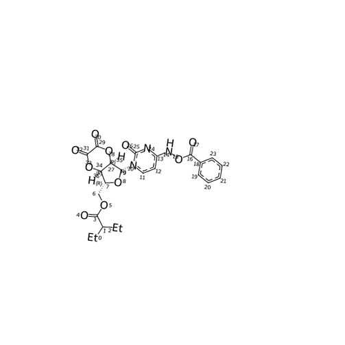 CCC(CC)C(=O)OC[C@H]1O[C@@H](n2ccc(NOC(=O)c3ccccc3)nc2=O)[C@@H]2OC(=O)C(=O)O[C@@H]21